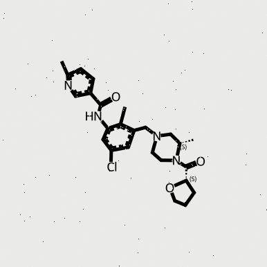 Cc1ccc(C(=O)Nc2cc(Cl)cc(CN3CCN(C(=O)[C@@H]4CCCO4)[C@@H](C)C3)c2C)cn1